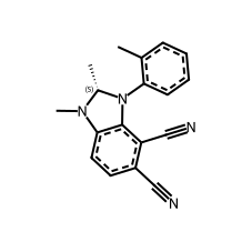 Cc1ccccc1N1c2c(ccc(C#N)c2C#N)N(C)[C@@H]1C